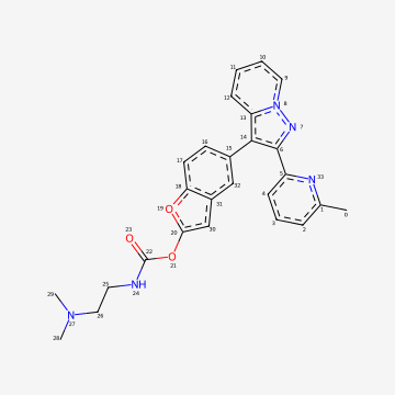 Cc1cccc(-c2nn3ccccc3c2-c2ccc3oc(OC(=O)NCCN(C)C)cc3c2)n1